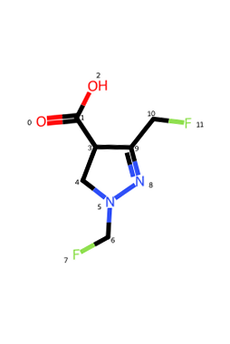 O=C(O)C1CN(CF)N=C1CF